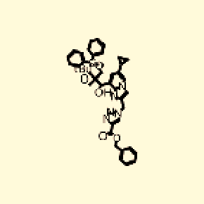 CC(C)(C)[Si](OCC1(C(O)c2cc(C3CC3)cn3cc(Cn4cc(C(=O)OCc5ccccc5)nn4)nc23)COC1)(c1ccccc1)c1ccccc1